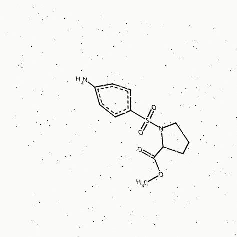 COC(=O)C1CCCN1S(=O)(=O)c1ccc(N)cc1